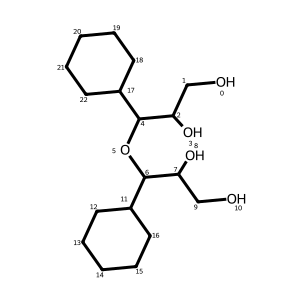 OCC(O)C(OC(C(O)CO)C1CCCCC1)C1CCCCC1